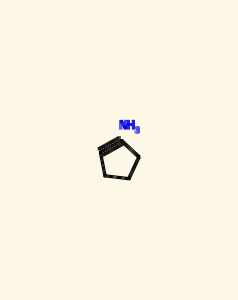 C1#CCCC1.N